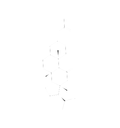 CC(=O)O[C@@H]1CC[C@@]2(C)C(CC[C@H]3C4CC[C@H](C(C)O)[C@@]4(C)CC(=O)[C@@H]32)C1